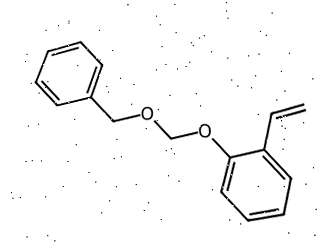 C=Cc1ccccc1OCOCc1ccccc1